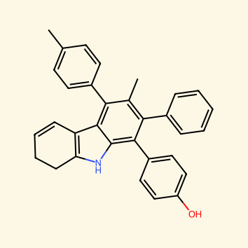 Cc1ccc(-c2c(C)c(-c3ccccc3)c(-c3ccc(O)cc3)c3[nH]c4c(c23)C=CCC4)cc1